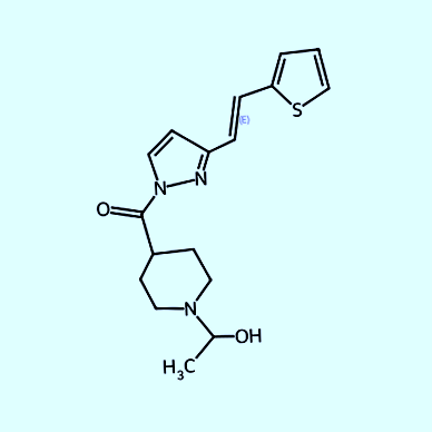 CC(O)N1CCC(C(=O)n2ccc(/C=C/c3cccs3)n2)CC1